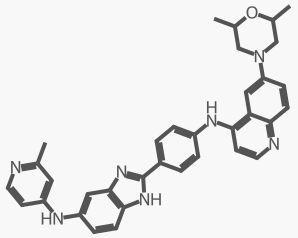 Cc1cc(Nc2ccc3[nH]c(-c4ccc(Nc5ccnc6ccc(N7CC(C)OC(C)C7)cc56)cc4)nc3c2)ccn1